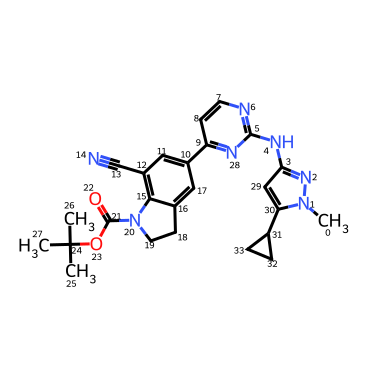 Cn1nc(Nc2nccc(-c3cc(C#N)c4c(c3)CCN4C(=O)OC(C)(C)C)n2)cc1C1CC1